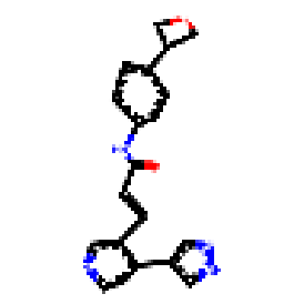 O=C(/C=C/c1cnccc1-c1cn[nH]c1)Nc1ccc(C2COC2)cc1